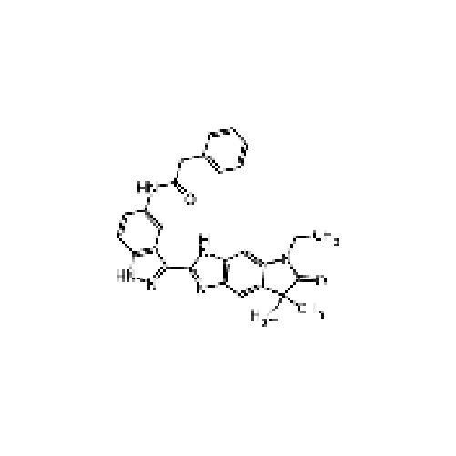 CCN1C(=O)C(C)(C)c2cc3nc(-c4n[nH]c5ccc(NC(=O)Cc6ccccc6)cc45)[nH]c3cc21